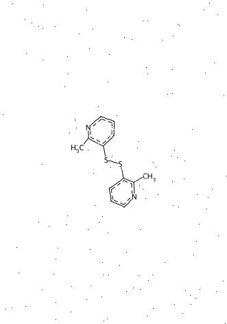 Cc1ncccc1SSc1cccnc1C